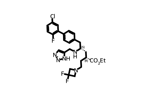 CCOC(=O)[C@H](CCN1CC(F)(F)C1)C[C@@H](Cc1ccc(-c2cc(Cl)ccc2F)cc1)NCc1cnn[nH]1